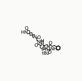 CC(C)CC(NC(=O)CNC(=O)C(Cc1ccccc1)NC(=O)OC(C)(C)C)C(=O)NCC(=O)N1CC2(C1)CC1(CNC(=O)C1)C2